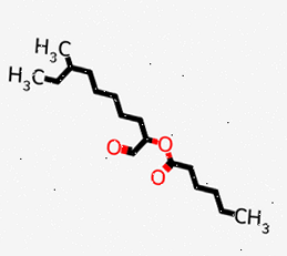 CCCCCC(=O)OC(C=O)CCCCCC(C)CC